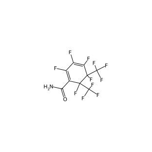 NC(=O)C1=C(F)C(F)=C(F)C(F)(C(F)(F)F)C1(F)C(F)(F)F